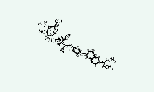 CCN(CC)c1ccc2cc(-c3ccc(/C=C(\C#N)S(=O)(=O)NC[C@H]4OC(O)[C@H](C)[C@@H](O)[C@@H]4O)s3)ccc2c1